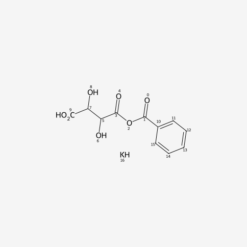 O=C(OC(=O)C(O)C(O)C(=O)O)c1ccccc1.[KH]